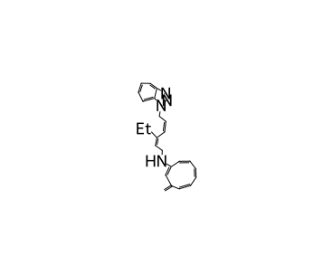 C=C1\C=C/C=C\C=C/C(NC/C=C(\C=C/Cn2nnc3ccccc32)CC)=C\1